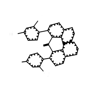 Cc1ccc(-c2ccc3ccccc3c2C(=O)c2c(-c3ccc(C)cc3C)ccc3ccccc23)c(C)c1